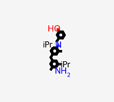 Cc1cc(Cc2cc(C)c(/N=C/c3cccc(O)c3)c(C(C)C)c2)cc(C(C)C)c1N